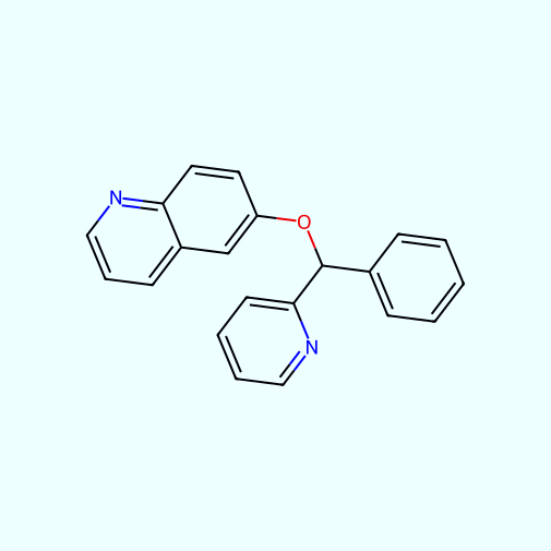 c1ccc(C(Oc2ccc3ncccc3c2)c2ccccn2)cc1